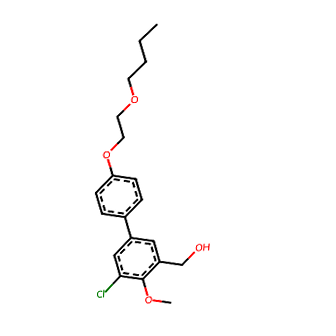 CCCCOCCOc1ccc(-c2cc(Cl)c(OC)c(CO)c2)cc1